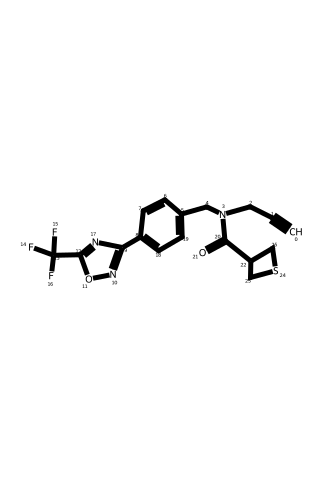 C#CCN(Cc1ccc(-c2noc(C(F)(F)F)n2)cc1)C(=O)C1CSC1